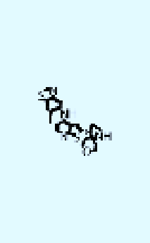 Fc1cc2scnc2cc1Nc1ccnc2sc([C@@H]3CCNC34CCOCC4)cc12